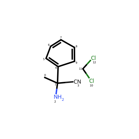 CC(N)(C#N)c1ccccc1.ClCCl